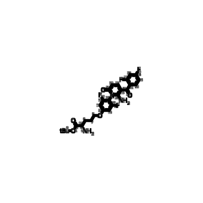 CC(C)(C)OC(=O)[C@@H](N)CCCOc1cc(F)c(-n2c(N)c(C(=O)c3ccc(F)cc3F)ccc2=O)c(F)c1